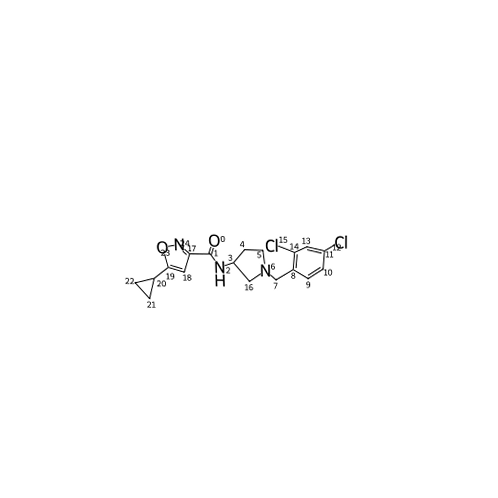 O=C(NC1CCN(Cc2ccc(Cl)cc2Cl)C1)c1cc(C2CC2)on1